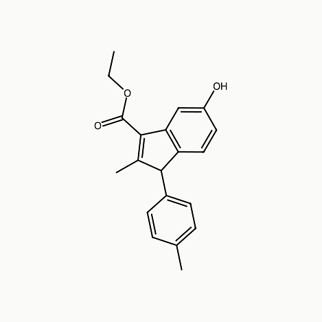 CCOC(=O)C1=C(C)C(c2ccc(C)cc2)c2ccc(O)cc21